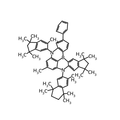 Cc1cc2c3c(c1)N(c1cc4c(cc1C)C(C)(C)CCC4(C)C)c1cc4c(cc1B3c1ccc(-c3ccccc3)cc1N2c1cc2c(cc1C)C(C)(C)CC2(C)C)C(C)(C)CC4(C)C